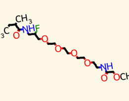 CCC(C)C(=O)NCC(F)COCCOCCOCCOCCNC(=O)COC